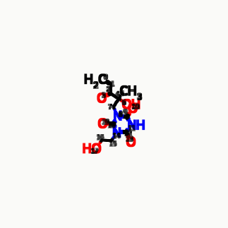 C=CC(=O)C(C)(O)Cn1c(=O)[nH]c(=O)n(CCO)c1=O